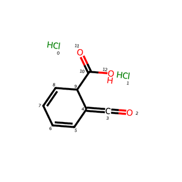 Cl.Cl.O=C=C1C=CC=CC1C(=O)O